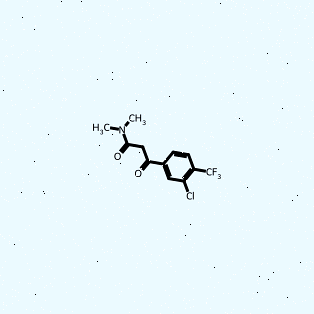 CN(C)C(=O)CC(=O)c1ccc(C(F)(F)F)c(Cl)c1